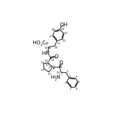 N[C@@H](Cc1ccccc1)C(=O)N1CCC[C@H]1C(=O)N[C@@H](Cc1ccc(O)cc1)C(=O)O